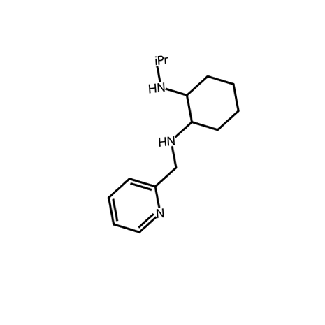 CC(C)NC1CCCCC1NCc1ccccn1